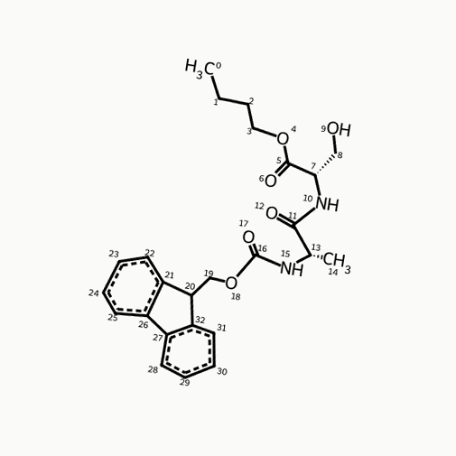 CCCCOC(=O)[C@H](CO)NC(=O)[C@H](C)NC(=O)OCC1c2ccccc2-c2ccccc21